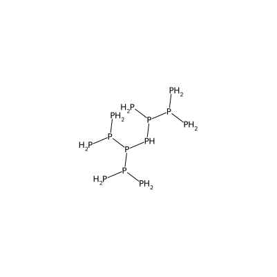 PP(P)P(P)PP(P(P)P)P(P)P